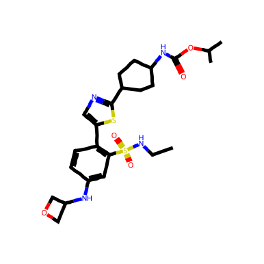 CCNS(=O)(=O)c1cc(NC2COC2)ccc1-c1cnc(C2CCC(NC(=O)OC(C)C)CC2)s1